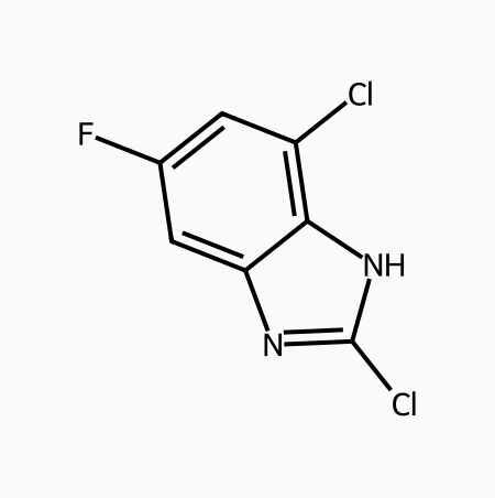 Fc1cc(Cl)c2[nH]c(Cl)nc2c1